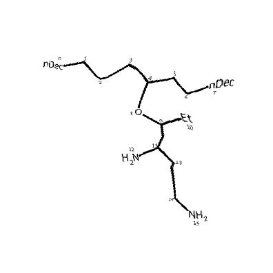 CCCCCCCCCCCCCC(CCCCCCCCCCCC)OC(CC)C(N)CCN